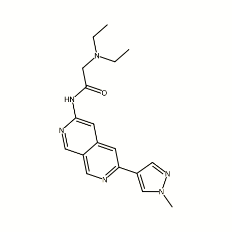 CCN(CC)CC(=O)Nc1cc2cc(-c3cnn(C)c3)ncc2cn1